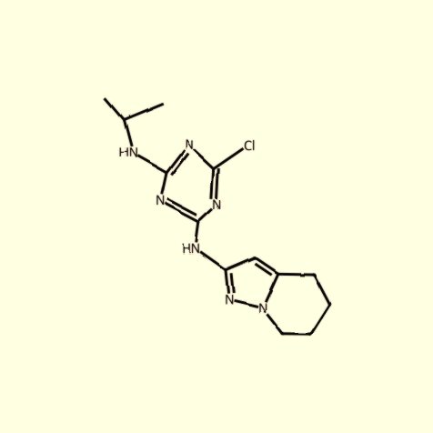 CC(C)Nc1nc(Cl)nc(Nc2cc3n(n2)CCCC3)n1